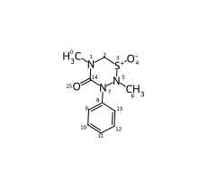 CN1C[S+]([O-])N(C)N(c2ccccc2)C1=O